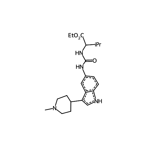 CCOC(=O)C(NC(=O)Nc1ccc2[nH]cc(C3CCN(C)CC3)c2c1)C(C)C